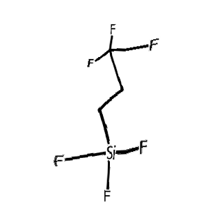 FC(F)(F)CC[Si](F)(F)F